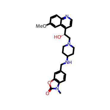 COc1ccc2nccc([C@@H](O)CN3CCC(NCc4ccc5c(c4)oc(=O)n5C)CC3)c2c1